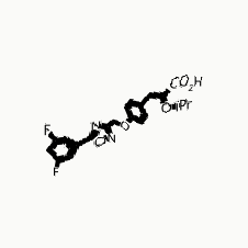 CC(C)OC(Cc1ccc(OCc2noc(-c3cc(F)cc(F)c3)n2)cc1)C(=O)O